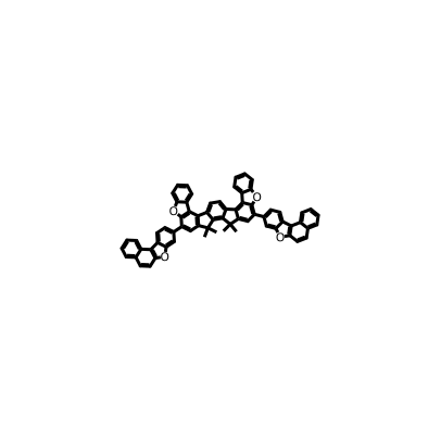 CC1(C)c2cc(-c3ccc4c(c3)oc3ccc5ccccc5c34)c3oc4ccccc4c3c2-c2ccc3c(c21)C(C)(C)c1cc(-c2ccc4c(c2)oc2ccc5ccccc5c24)c2oc4ccccc4c2c1-3